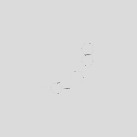 Fc1ccc(CN2CCN(c3ccc4ccccc4c3)CC2)cc1